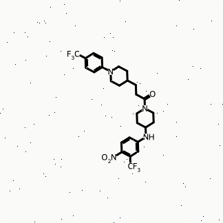 O=C(CCC1CCN(c2ccc(C(F)(F)F)cc2)CC1)N1CCC(Nc2ccc([N+](=O)[O-])c(C(F)(F)F)c2)CC1